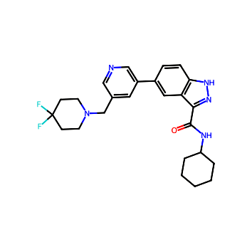 O=C(NC1CCCCC1)c1n[nH]c2ccc(-c3cncc(CN4CCC(F)(F)CC4)c3)cc12